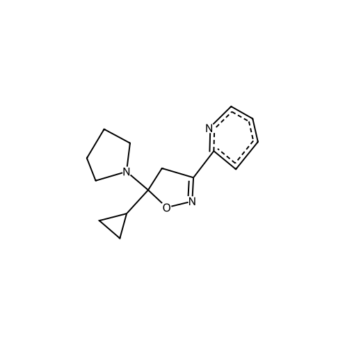 c1ccc(C2=NOC(C3CC3)(N3CCCC3)C2)nc1